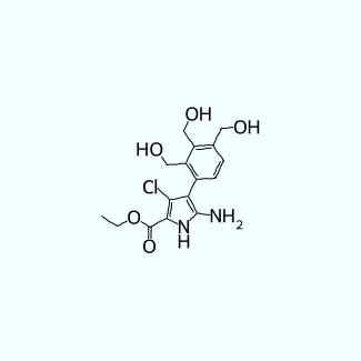 CCOC(=O)c1[nH]c(N)c(-c2ccc(CO)c(CO)c2CO)c1Cl